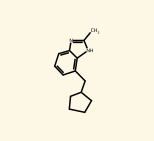 Cc1nc2cccc(CC3CCCC3)c2[nH]1